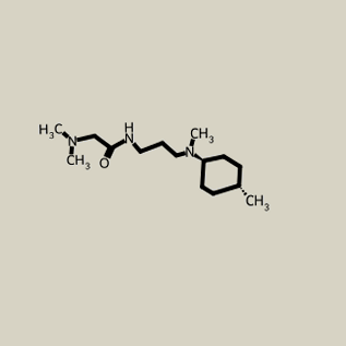 CN(C)CC(=O)NCCCN(C)[C@H]1CC[C@H](C)CC1